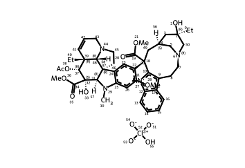 CC[C@@]1(O)C[C@H]2C[N@](CCc3c([nH]c4ccccc34)[C@@](C(=O)OC)(c3cc4c(cc3OC)N(C)[C@H]3[C@@](O)(C(=O)OC)[C@H](OC(C)=O)[C@]5(CC)C=CCN6CC[C@]43[C@@H]65)C2)C1.[O-][Cl+3]([O-])([O-])O